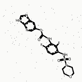 O=C(Nc1c(F)ccc(NS(=O)(=O)N2CCOCC2)c1F)Oc1cnc2[nH]cnc2c1